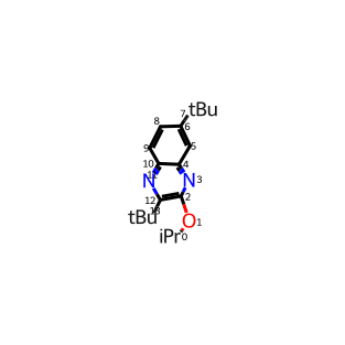 CC(C)Oc1nc2cc(C(C)(C)C)ccc2nc1C(C)(C)C